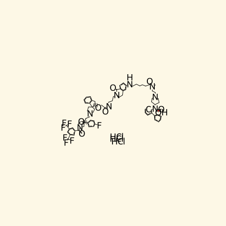 CN(CCN1CCC(N(C(=O)O)c2ccccc2-c2ccccc2)CC1)C(=O)CCCCCNc1ccc2c(c1)CCN(CCCN(C)C(=O)CO[C@H]1Cc3ccccc3C13CCN(CC[C@@]1(c4ccc(F)cc4)CN(C(=O)c4cc(C(F)(F)F)cc(C(F)(F)F)c4)CO1)CC3)C2=O.Cl.Cl.Cl